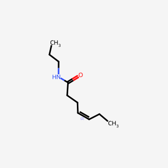 CC/C=C\CCC(=O)NCCC